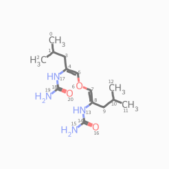 CC(C)CC(=COC=C(CC(C)C)NC(N)=O)NC(N)=O